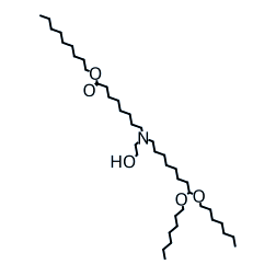 CCCCCCCCCOC(=O)CCCCCCCN(CCO)CCCCCCCC(OCCCCCCC)OCCCCCCC